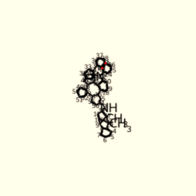 CC1(C)c2ccccc2C2C3=CC(NC4=CC5c6cccc(N(c7ccccc7)c7ccccc7-c7ccccc7)c6C6C=CC=CC6c6ccccc6C5C=C4)=CC321